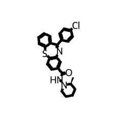 C[C@H]1CCCCN1NC(=O)c1ccc2c(c1)N=C(c1ccc(Cl)cc1)c1ccccc1S2